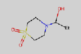 CCC(O)N1CCS(=O)(=O)CC1